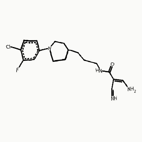 N=C/C(=C\N)C(=O)NCCCC1CCN(c2ccc(Cl)c(F)c2)CC1